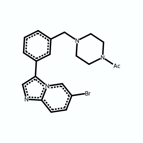 CC(=O)N1CCN(Cc2cccc(-c3cnc4ccc(Br)cn34)c2)CC1